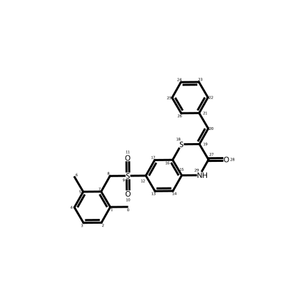 Cc1cccc(C)c1CS(=O)(=O)c1ccc2c(c1)S/C(=C\c1ccccc1)C(=O)N2